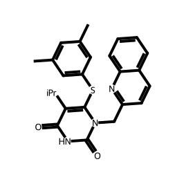 Cc1cc(C)cc(Sc2c(C(C)C)c(=O)[nH]c(=O)n2Cc2ccc3ccccc3n2)c1